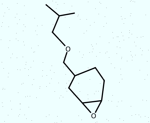 CC(C)COCC1CCC2OC2C1